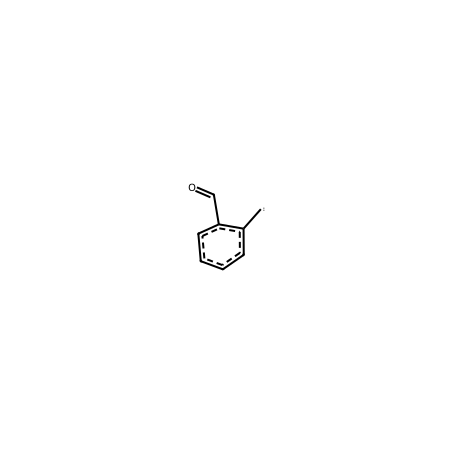 [CH]c1ccccc1C=O